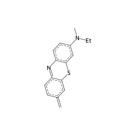 C=c1ccc2c(c1)Sc1cc(N(C)CC)ccc1N=2